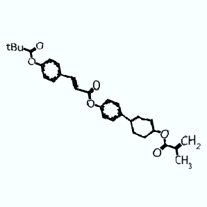 C=C(C)C(=O)OC1CCC(c2ccc(OC(=O)/C=C/c3ccc(OC(=O)C(C)(C)C)cc3)cc2)CC1